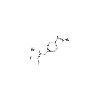 [N-]=[N+]=Nc1ccc(CC(CBr)=C(F)F)cc1